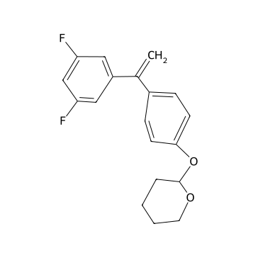 C=C(c1ccc(OC2CCCCO2)cc1)c1cc(F)cc(F)c1